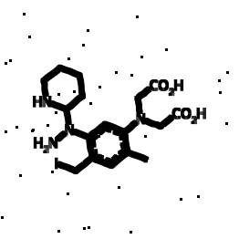 Cc1cc(CI)c(N(N)C2CCCCN2)cc1N(CC(=O)O)CC(=O)O